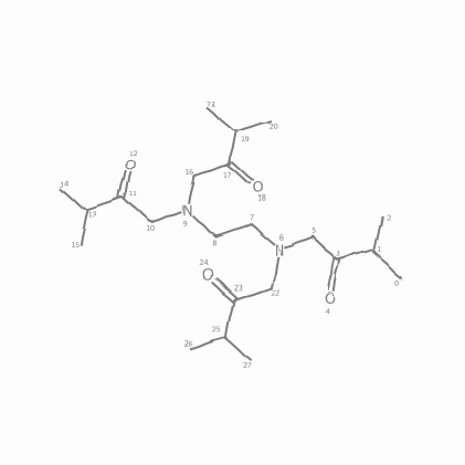 CC(C)C(=O)CN(CCN(CC(=O)C(C)C)CC(=O)C(C)C)CC(=O)C(C)C